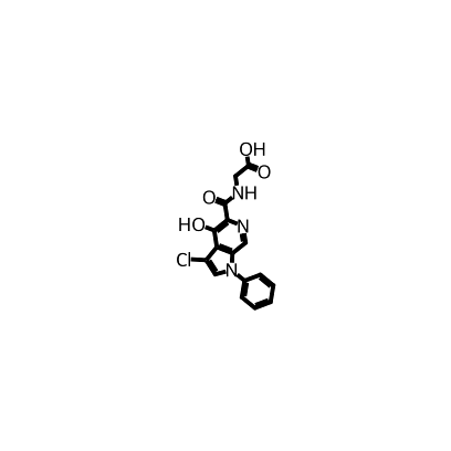 O=C(O)CNC(=O)c1ncc2c(c(Cl)cn2-c2ccccc2)c1O